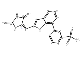 NS(=O)(=O)c1cccc(-c2cncc3cc(/C=C4/SC(=O)NC4=O)oc23)c1